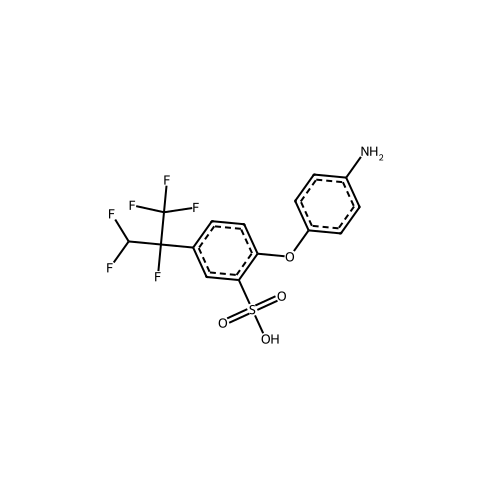 Nc1ccc(Oc2ccc(C(F)(C(F)F)C(F)(F)F)cc2S(=O)(=O)O)cc1